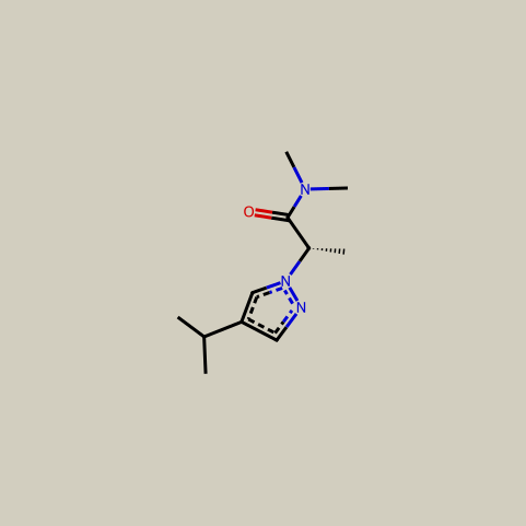 CC(C)c1cnn([C@@H](C)C(=O)N(C)C)c1